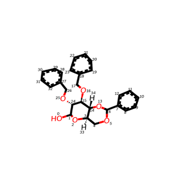 OC1O[C@@H]2COC(c3ccccc3)O[C@H]2[C@H](OCc2ccccc2)[C@H]1OCc1ccccc1